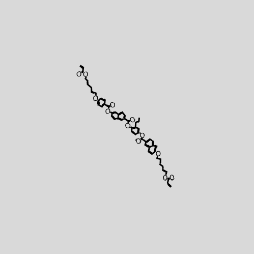 C=CC(=O)OCCCCCCOc1ccc(C(=O)Oc2ccc3cc(C(=O)Oc4ccc(OC(=O)c5ccc6cc(OCCCCCCOC(=O)C=C)ccc6c5)cc4CCC)ccc3c2)cc1